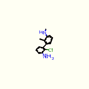 CNc1cccc(-c2cccc(N)c2Cl)c1C